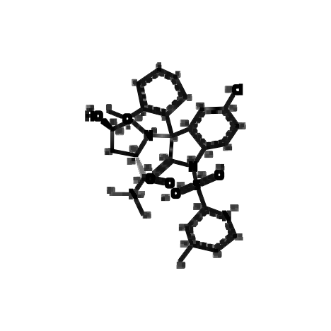 COc1ccccc1C1(N2C[C@H](O)C[C@H]2C(=O)N(C)C)C(=O)N(S(=O)(=O)c2cc(C)ccn2)c2ccc(Cl)cc21